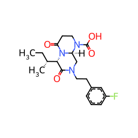 CC[C@@H](C)[C@H]1C(=O)N(CCc2cccc(F)c2)C[C@@H]2N(C(=O)O)CCC(=O)N12